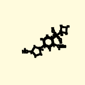 COc1nc(N2CCC(O)C2)ccc1S(=O)(=O)N1CCC1